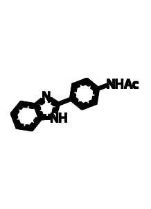 CC(=O)Nc1ccc(-c2nc3ccccc3[nH]2)cc1